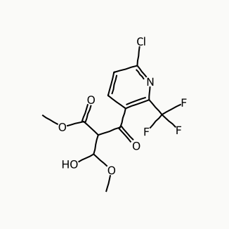 COC(=O)C(C(=O)c1ccc(Cl)nc1C(F)(F)F)C(O)OC